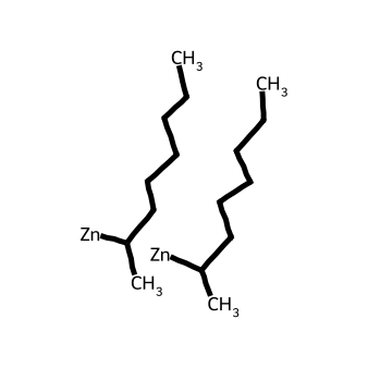 CCCCCC[CH](C)[Zn].CCCCCC[CH](C)[Zn]